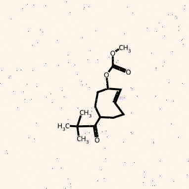 COC(=O)OC1/C=C/CCC(C(=O)C(C)(C)C)CC1